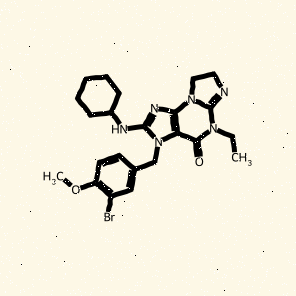 CCN1C(=O)c2c(nc(NC3CCCCC3)n2Cc2ccc(OC)c(Br)c2)N2CCN=C12